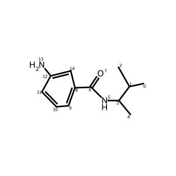 CC(C)C(C)NC(=O)c1cccc(N)c1